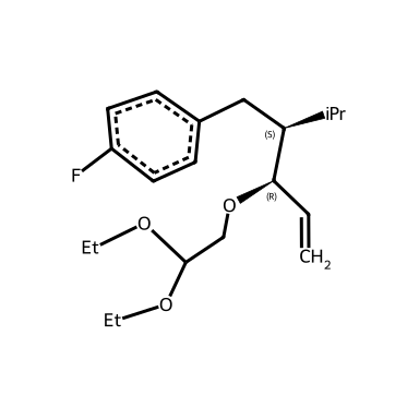 C=C[C@@H](OCC(OCC)OCC)[C@@H](Cc1ccc(F)cc1)C(C)C